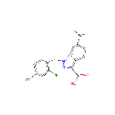 C[As](C)c1ccc2c(C(=O)O)nn(Cc3ccc(Cl)cc3F)c2c1